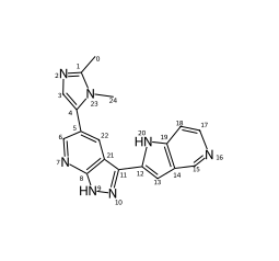 Cc1ncc(-c2cnc3[nH]nc(-c4cc5cnccc5[nH]4)c3c2)n1C